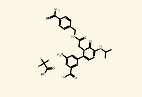 CC(C)Nc1ncc(-c2cc(N)cc(C(=O)O)c2)n(CC(=O)NCc2ccc(C(=N)N)cc2)c1=O.O=C(O)C(F)(F)F